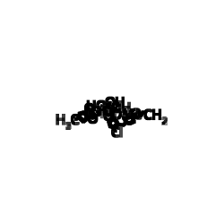 C=CCOc1ccc(Cc2cc([C@]3(OC)O[C@H](COS(=O)(=O)c4ccc(C)cc4)[C@@H](O)C(O)C3O)ccc2Cl)cc1